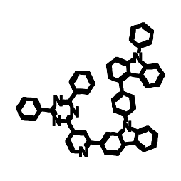 C1=CC2c3ccccc3N(c3ccc(-c4cccc5c4c4ccccc4n5-c4ccccc4)cc3)C2C=C1c1cc(-c2nc(-c3ccccc3)nc(-c3ccccc3)n2)ccn1